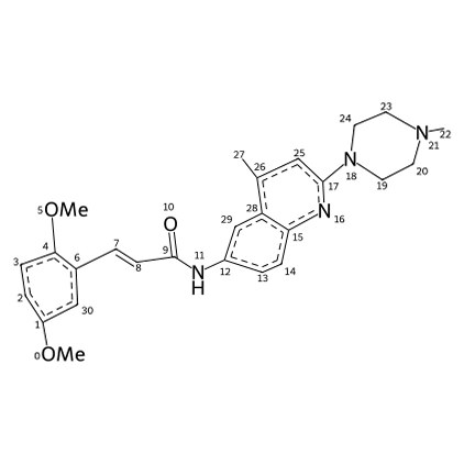 COc1ccc(OC)c(C=CC(=O)Nc2ccc3nc(N4CCN(C)CC4)cc(C)c3c2)c1